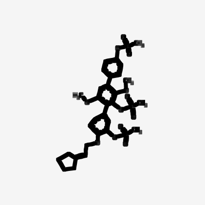 COc1cc(-c2ccc(OS(C)(=O)=O)cc2)c(OC)c(OS(C)(=O)=O)c1-c1ccc(OCC=C2CCCC2)c(OS(C)(=O)=O)c1